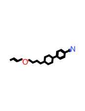 C/C=C/COCCCCC1CCC(c2ccc(C#N)cc2)CC1